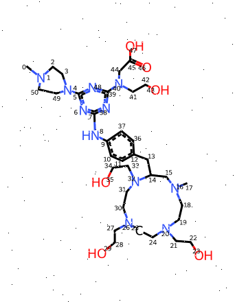 CN1CCN(c2nc(Nc3ccc(CC4CN(C)CCN(CCO)CCN(CCO)CCN4CCO)cc3)nc(N(CCO)CC(=O)O)n2)CC1